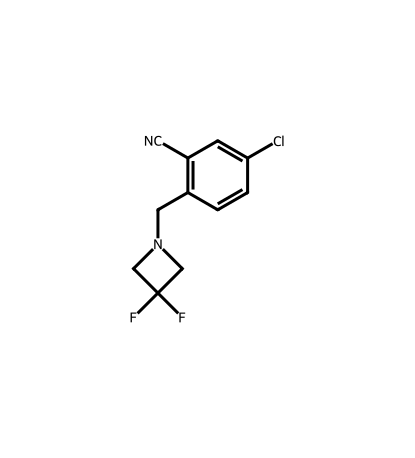 N#Cc1cc(Cl)ccc1CN1CC(F)(F)C1